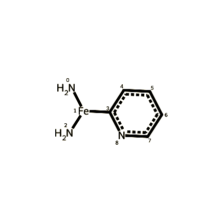 [NH2][Fe]([NH2])[c]1ccccn1